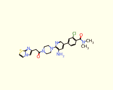 CN(C)C(=O)c1ccc(-c2cnc(N3CCN(C(=O)Cc4cn5ccsc5n4)CC3)c(N)c2)cc1Cl